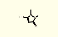 Cn1c(O)cc(=O)n1C